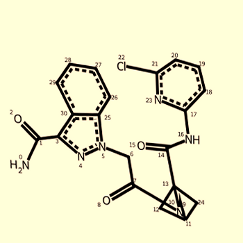 NC(=O)c1nn(CC(=O)N2CC3CC2(C(=O)Nc2cccc(Cl)n2)C3)c2ccccc12